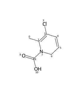 CC1=C(Cl)C=CCN1C(=O)O